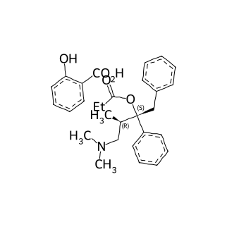 CCC(=O)O[C@](Cc1ccccc1)(c1ccccc1)[C@H](C)CN(C)C.O=C(O)c1ccccc1O